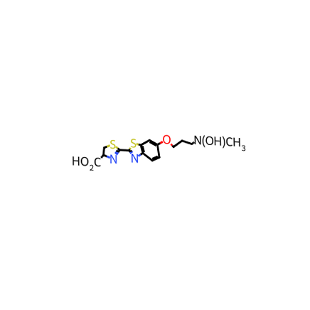 CN(O)CCCOc1ccc2nc(C3=NC(C(=O)O)CS3)sc2c1